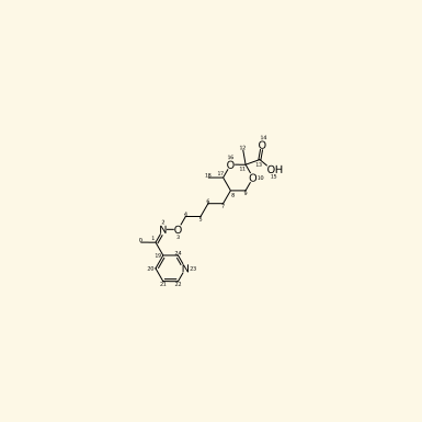 CC(=NOCCCCC1COC(C)(C(=O)O)OC1C)c1cccnc1